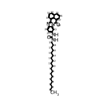 CCCCCCCCCCCCCCCCCCCCNC(=O)Nc1ccc2nc3c4cccc5cccc(c(=O)n3c2c1)c54